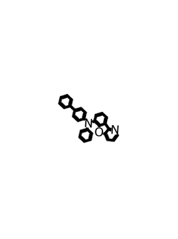 c1ccc(-c2ccc(N(c3ccccc3)c3cccc4c3oc3cccnc34)cc2)cc1